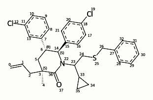 C=CC[C@@]1(C)C[C@H](c2cccc(Cl)c2)[C@@H](c2ccc(Cl)cc2)N(C(CSCc2ccccc2)C2CC2)C1=O